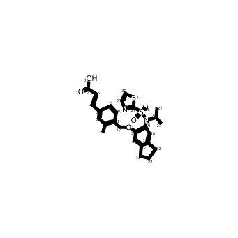 Cc1cc(C=CC(=O)O)ccc1COc1cc2c(cc1N(C(C)C)S(=O)(=O)c1nccs1)CCC2